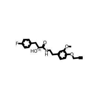 C#CCOc1ccc(CCNC(=O)[C@H](O)Cc2ccc(F)cc2)cc1OC